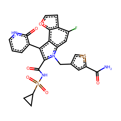 NC(=O)c1cc(Cn2c(C(=O)NS(=O)(=O)C3CC3)c(-c3ccc[nH]c3=O)c3c4occc4c(F)cc32)cs1